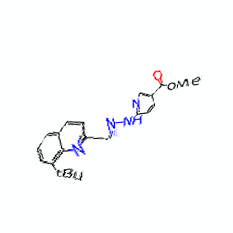 COC(=O)c1ccc(N/N=C/c2ccc3cccc(C(C)(C)C)c3n2)nc1